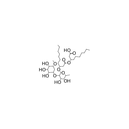 CCCCCCCC(CC(=O)O)OC(=O)CC(CCCCCCC)OC1OC(C)C(O)C(O)C1OC1CC(OC)C(O)C(O)C1O